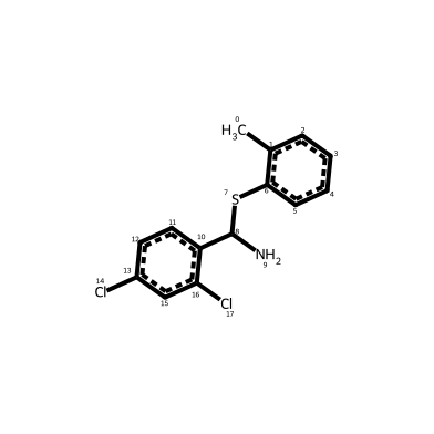 Cc1ccccc1SC(N)c1ccc(Cl)cc1Cl